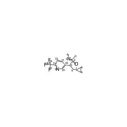 CN=S(C)(=O)C(CC1CC1)c1ccc(C(F)(F)F)nc1